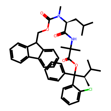 CC(C)C[C@@H](C(=O)NC(C)(C)C(=O)OC(c1ccccc1)(c1ccccc1Cl)[C@H](C)C(C)C)N(C)C(=O)OCC1c2ccccc2-c2ccccc21